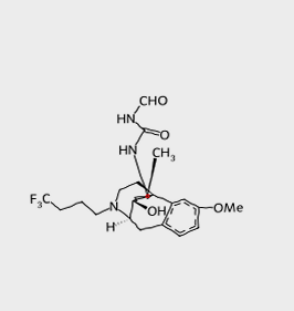 COc1ccc2c(c1)[C@]13CCN(CCCC(F)(F)F)[C@H](C2)[C@]1(O)CC[C@](C)(NC(=O)NC=O)C3